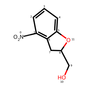 O=[N+]([O-])c1cccc2c1CC(CO)O2